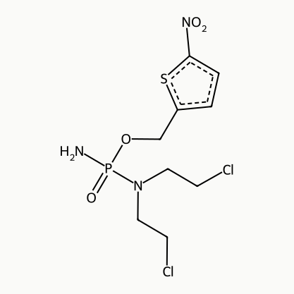 NP(=O)(OCc1ccc([N+](=O)[O-])s1)N(CCCl)CCCl